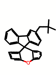 CC(C)(C)Cc1ccc2c(c1)-c1ccccc1C21c2ccccc2Oc2ccccc21